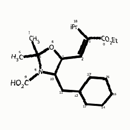 CCOC(=O)C(=CC1OC(C)(C)N(C(=O)O)C1CC1CCCCC1)C(C)C